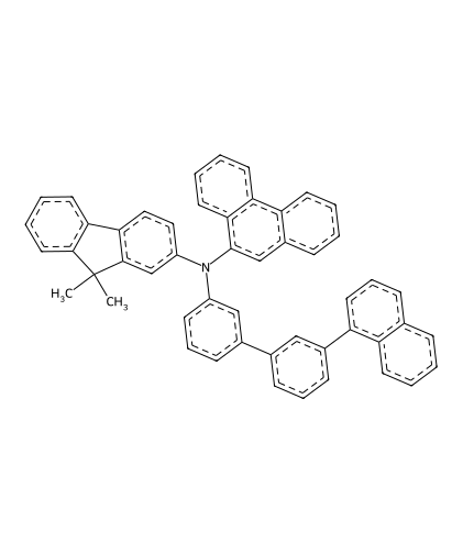 CC1(C)c2ccccc2-c2ccc(N(c3cccc(-c4cccc(-c5cccc6ccccc56)c4)c3)c3cc4ccccc4c4ccccc34)cc21